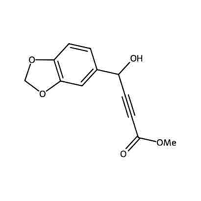 COC(=O)C#CC(O)c1ccc2c(c1)OCO2